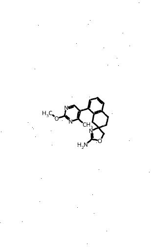 COc1ncc(-c2cccc3c2CC2(CC3)COC(N)=N2)c(C)n1